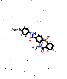 COc1ccc(NC(=O)c2ccc3c(c2)N(C)C(=O)c2ccccc2[S+]3[O-])cc1